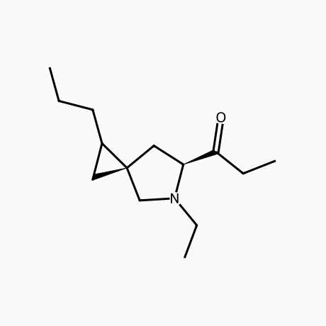 CCCC1C[C@]12C[C@@H](C(=O)CC)N(CC)C2